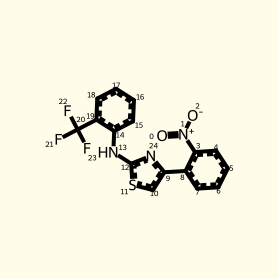 O=[N+]([O-])c1ccccc1-c1csc(Nc2ccccc2C(F)(F)F)n1